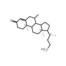 CC1CC2=CC(=O)CC[C@]2(C)C2CC[C@@]3(C)C(CCC3[C@H](C)CCC(=O)O)C12